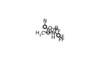 CC[C@@H]1CC[C@H](C(=O)NC(c2ccc(C(F)(F)F)cc2F)C2COC2)N1C(=O)c1cccc(C#N)c1